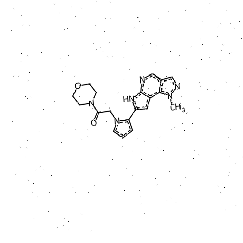 Cn1ncc2cnc3[nH]c(-c4cccn4CC(=O)N4CCOCC4)cc3c21